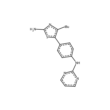 CCC(C)c1nc(N)sc1-c1ccc(Nc2ncccn2)cc1